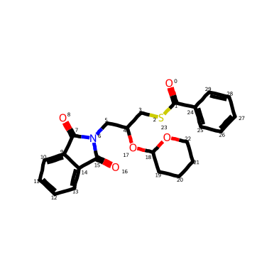 O=C(SCC(CN1C(=O)c2ccccc2C1=O)OC1CCCCO1)c1ccccc1